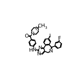 CN1CCN(C(=O)c2ccc(Nc3ncc4c(n3)-c3ccc(I)cc3C(c3cccc(F)c3)=NC4)cc2)CC1